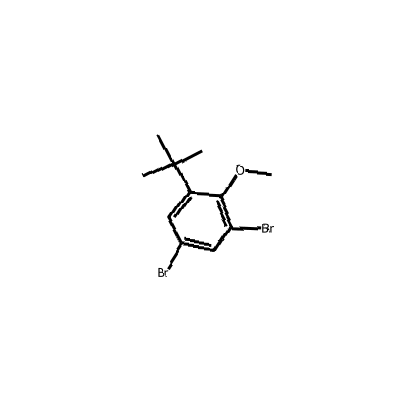 COc1c(Br)cc(Br)cc1C(C)(C)C